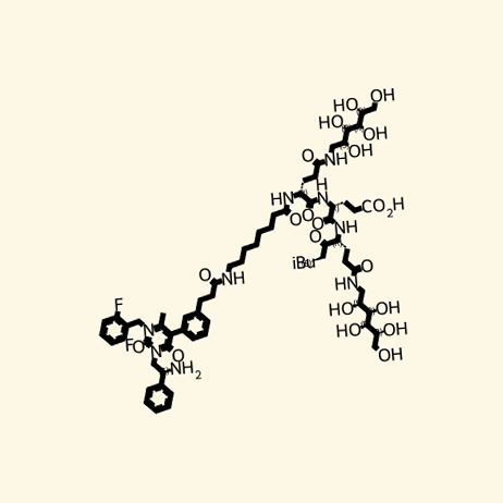 CC[C@H](C)CC(=O)[C@@H](CCC(=O)NC[C@H](O)[C@@H](O)[C@H](O)[C@H](O)CO)NC(=O)[C@@H](CCC(=O)O)NC(=O)[C@@H](CCC(=O)NC[C@H](O)[C@@H](O)[C@H](O)[C@H](O)CO)NC(=O)CCCCCCCNC(=O)CCc1cccc(-c2c(C)n(Cc3c(F)cccc3F)c(=O)n(C[C@@H](N)c3ccccc3)c2=O)c1